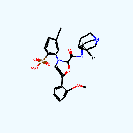 COc1ccccc1C1=CN(c2cc(C)ccc2S(=O)(=O)O)C(C(=O)N[C@H]2CN3CCC2CC3)O1